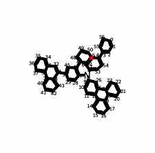 c1ccc(-c2ccc(N(c3ccc4c5ccccc5c5ccccc5c4c3)c3ccc(-c4cc5ccccc5c5ccccc45)cc3-c3ccccc3)cc2)cc1